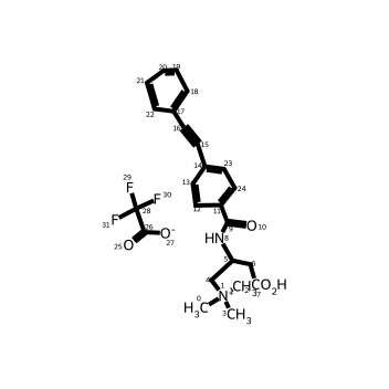 C[N+](C)(C)CC(CC(=O)O)NC(=O)c1ccc(C#Cc2ccccc2)cc1.O=C([O-])C(F)(F)F